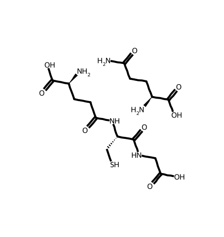 NC(=O)CC[C@H](N)C(=O)O.N[C@@H](CCC(=O)N[C@@H](CS)C(=O)NCC(=O)O)C(=O)O